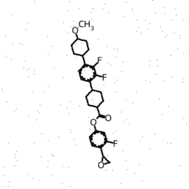 COC1CCC(c2ccc(C3CCC(C(=O)Oc4ccc(C5CO5)c(F)c4)CC3)c(F)c2F)CC1